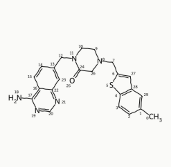 Cc1ccc2sc(CN3CCN(Cc4ccc5c(N)ncnc5c4)C(=O)C3)cc2c1